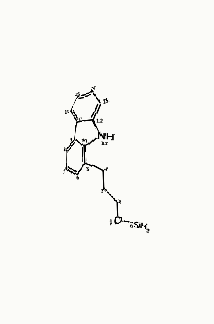 [SiH3]OCCCc1cccc2c1[nH]c1ccccc12